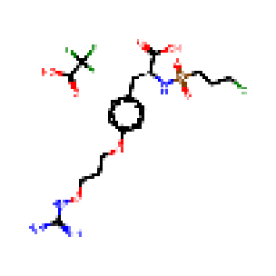 N=C(N)NOCCCOc1ccc(C[C@H](NS(=O)(=O)CCCCl)C(=O)O)cc1.O=C(O)C(F)(F)F